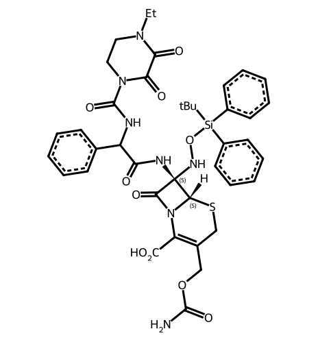 CCN1CCN(C(=O)NC(C(=O)N[C@]2(NO[Si](c3ccccc3)(c3ccccc3)C(C)(C)C)C(=O)N3C(C(=O)O)=C(COC(N)=O)CS[C@H]32)c2ccccc2)C(=O)C1=O